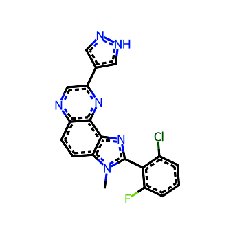 Cn1c(-c2c(F)cccc2Cl)nc2c3nc(-c4cn[nH]c4)cnc3ccc21